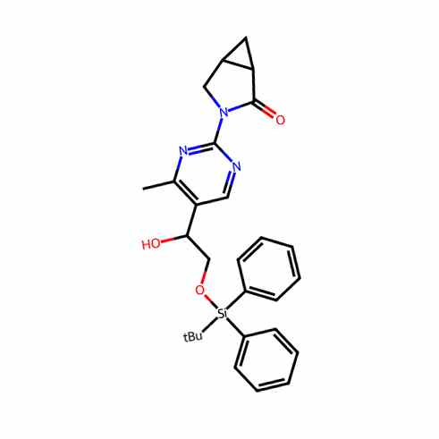 Cc1nc(N2CC3CC3C2=O)ncc1C(O)CO[Si](c1ccccc1)(c1ccccc1)C(C)(C)C